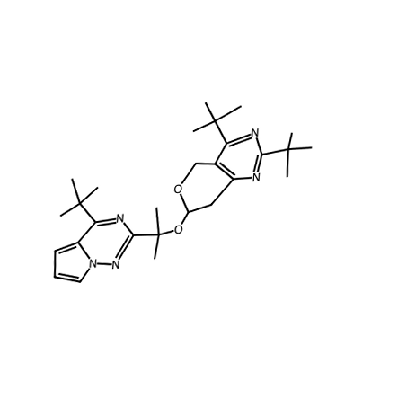 CC(C)(C)c1nc2c(c(C(C)(C)C)n1)COC(OC(C)(C)c1nc(C(C)(C)C)c3cccn3n1)C2